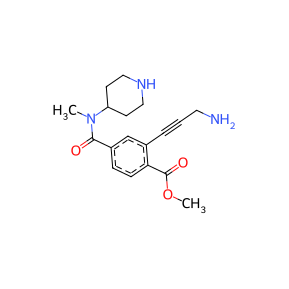 COC(=O)c1ccc(C(=O)N(C)C2CCNCC2)cc1C#CCN